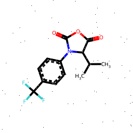 CC(C)C1C(=O)OC(=O)N1c1ccc(C(F)(F)F)cc1